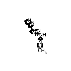 CN1CCN([C@H]2C[C@@H](Nc3ncc4c(-c5cnc6ncccc6c5)ccn4n3)C2)CC1